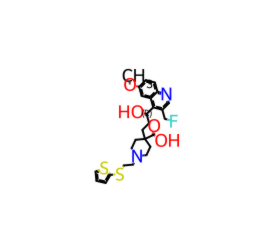 COc1ccc2ncc(CF)c([C@H](O)CCC3(C(=O)O)CCN(CCSc4cccs4)CC3)c2c1